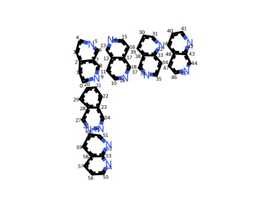 c1cc2ccncc2cn1.c1cc2cnccc2cn1.c1ccc2cnncc2c1.c1cnc2ccncc2c1.c1cnc2cnccc2c1.c1cnc2ncccc2c1